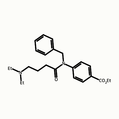 CCOC(=O)c1ccc(N(Cc2ccccc2)C(=O)CCCN(CC)CC)cc1